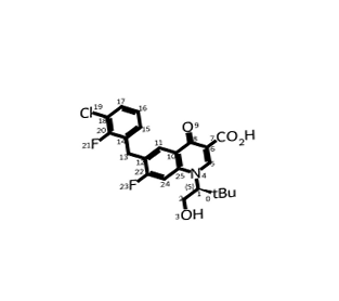 CC(C)(C)[C@@H](CO)n1cc(C(=O)O)c(=O)c2cc(Cc3cccc(Cl)c3F)c(F)cc21